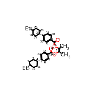 CC[C@H]1CC[C@H](c2ccc(C(=O)OC(C)C(C)OC(=O)c3ccc([C@H]4CC[C@H](CC)CC4)cc3)cc2)CC1